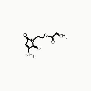 C=CC(=O)OCCN1C(=O)C=C(C)C1=O